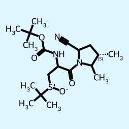 CC1[C@@H](C)CC(C#N)N1C(=O)C(C[S+]([O-])C(C)(C)C)NC(=O)OC(C)(C)C